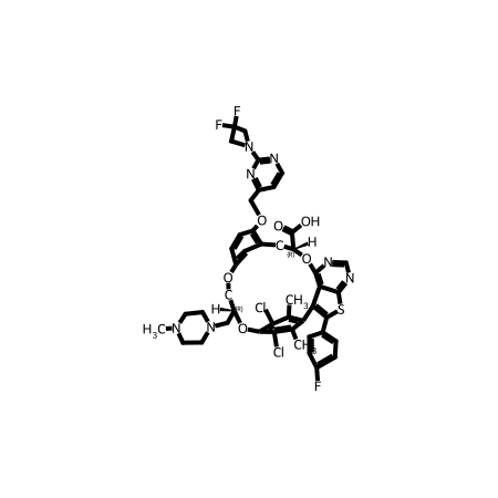 Cc1c(Cl)c2c(Cl)c(C)c1-c1c(-c3ccc(F)cc3)sc3ncnc(c13)O[C@@H](C(=O)O)Cc1cc(ccc1OCc1ccnc(N3CC(F)(F)C3)n1)OC[C@@H](CN1CCN(C)CC1)O2